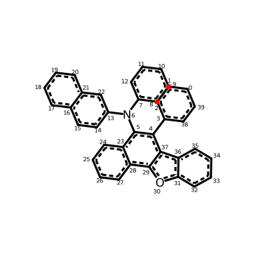 c1ccc(-c2c(N(c3ccccc3)c3ccc4ccccc4c3)c3ccccc3c3oc4ccccc4c23)cc1